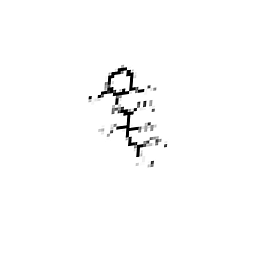 C=C(C)CC(C)(CCC)C(C)=Nc1c(C(C)C)cccc1C(C)C